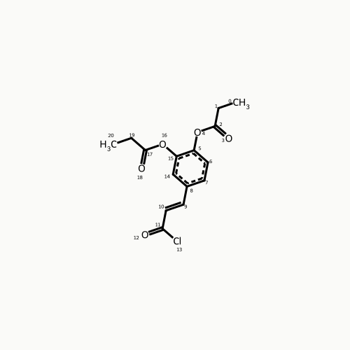 CCC(=O)Oc1ccc(/C=C/C(=O)Cl)cc1OC(=O)CC